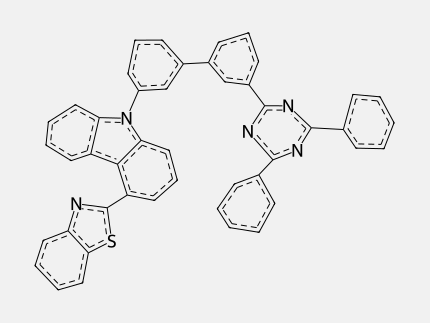 c1ccc(-c2nc(-c3ccccc3)nc(-c3cccc(-c4cccc(-n5c6ccccc6c6c(-c7nc8ccccc8s7)cccc65)c4)c3)n2)cc1